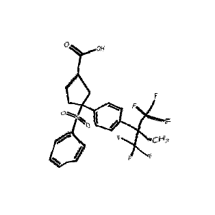 CC(c1ccc(C2(S(=O)(=O)c3ccccc3)CCC(C(=O)O)C2)cc1)(C(F)(F)F)C(F)(F)F